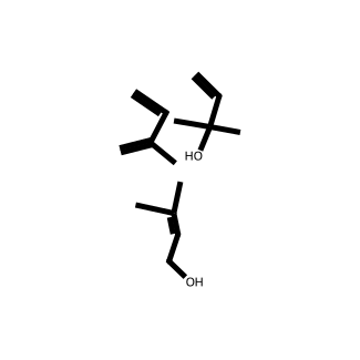 C=CC(=C)C.C=CC(C)(C)O.CC(C)=CCO